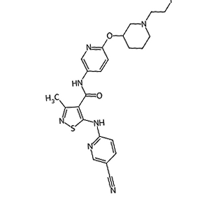 Cc1nsc(Nc2ccc(C#N)cn2)c1C(=O)Nc1ccc(OC2CCCN(CCF)C2)nc1